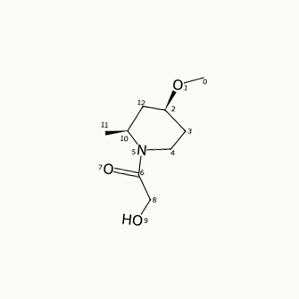 CO[C@H]1CCN(C(=O)CO)[C@@H](C)C1